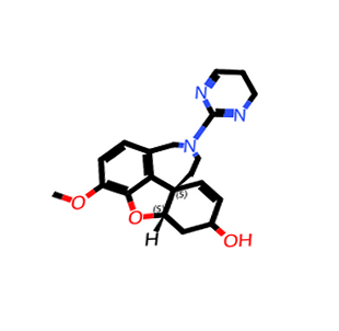 COc1ccc2c3c1O[C@H]1CC(O)C=C[C@@]31CCN(C1=NCCC=N1)C2